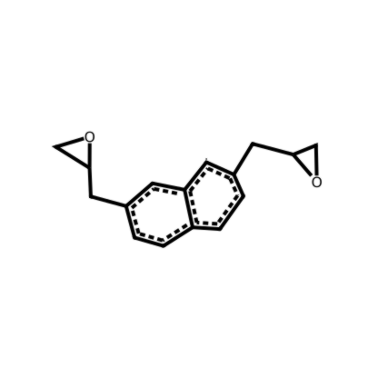 [c]1c(CC2CO2)ccc2ccc(CC3CO3)cc12